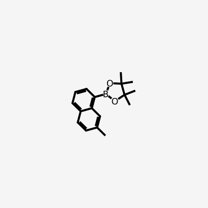 Cc1ccc2cccc(B3OC(C)(C)C(C)(C)O3)c2c1